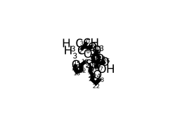 CC(C)(C)C(=O)OC1=C(SCc2ccco2)C(CSCc2ccco2)(C(=O)O)OC1=O